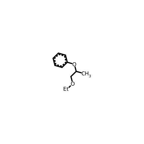 CCOCC(C)Oc1ccccc1